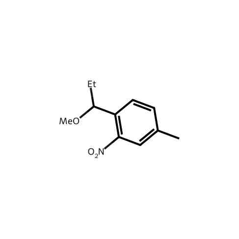 CCC(OC)c1ccc(C)cc1[N+](=O)[O-]